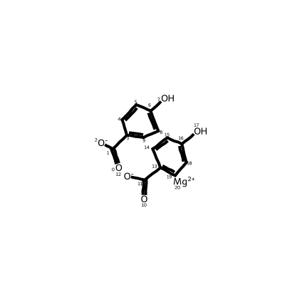 O=C([O-])c1ccc(O)cc1.O=C([O-])c1ccc(O)cc1.[Mg+2]